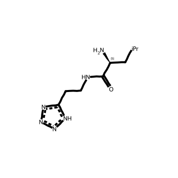 CC(C)C[C@H](N)C(=O)NCCc1nnn[nH]1